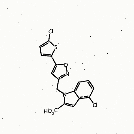 O=C(O)c1cc2c(Cl)cccc2n1Cc1cc(-c2ccc(Cl)s2)on1